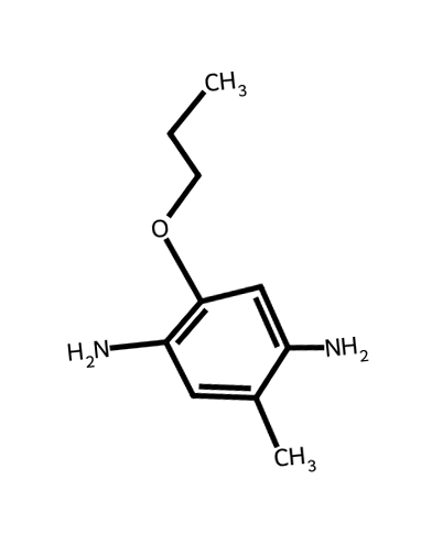 CCCOc1cc(N)c(C)cc1N